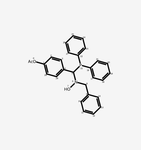 CC(=O)Oc1ccc(C(N(O)Cc2ccccc2)P(c2ccccc2)c2ccccc2)cc1